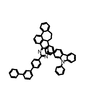 c1ccc(-c2cccc(-c3ccc(-c4nc(-c5ccc6c7ccccc7n(-c7ccccc7)c6c5)nc(-c5cccc6c5C(c5ccccc5)CCc5ccccc5-6)n4)cc3)c2)cc1